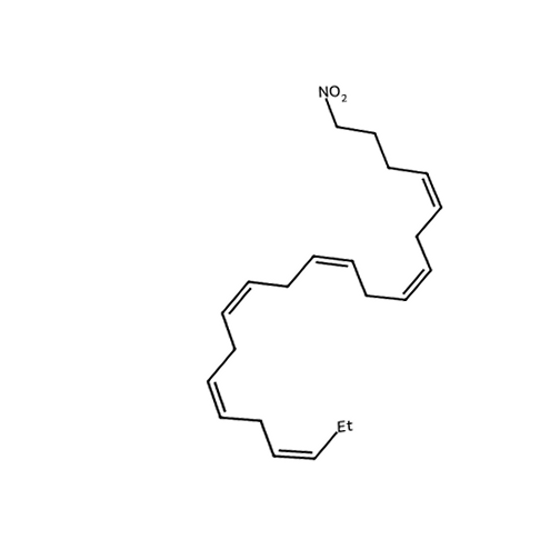 CC/C=C\C/C=C\C/C=C\C/C=C\C/C=C\C/C=C\CCC[N+](=O)[O-]